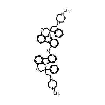 CN1CCN(CCC2(c3ccccc3)COc3cccc4c5c(Oc6cccc7c6c6cccc8c6n7C(CCN6CCN(C)CC6)(c6ccccc6)CO8)cccc5n2c34)CC1